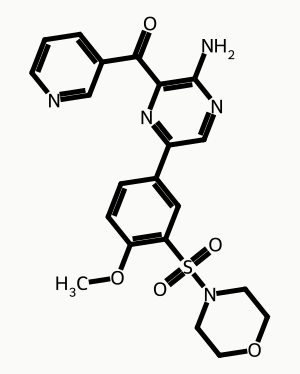 COc1ccc(-c2cnc(N)c(C(=O)c3cccnc3)n2)cc1S(=O)(=O)N1CCOCC1